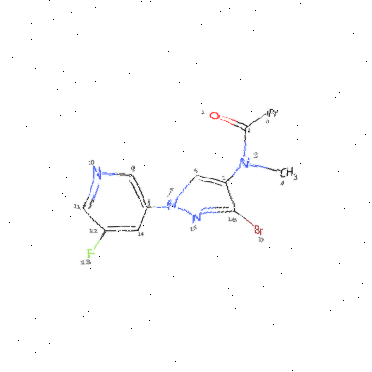 CC(C)C(=O)N(C)c1cn(-c2cncc(F)c2)nc1Br